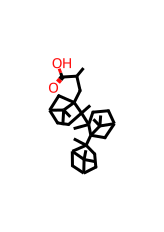 CC(CC12CC(CCC1(C)C1(C)CCC3CC1(C1(C)CCC4CC1C4(C)C)C3(C)C)C2(C)C)C(=O)O